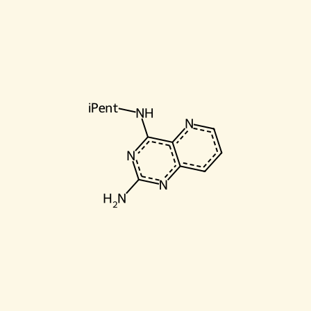 CCCC(C)Nc1nc(N)nc2cccnc12